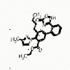 CCCCc1cc(-c2ccccc2-c2nc(=O)o[nH]2)cc(C(=O)OCC)c1-n1ccc(C)n1